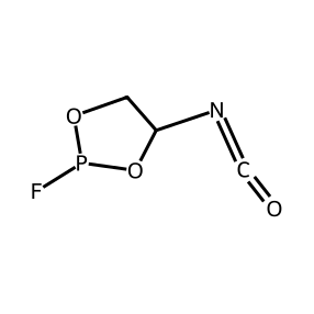 O=C=NC1COP(F)O1